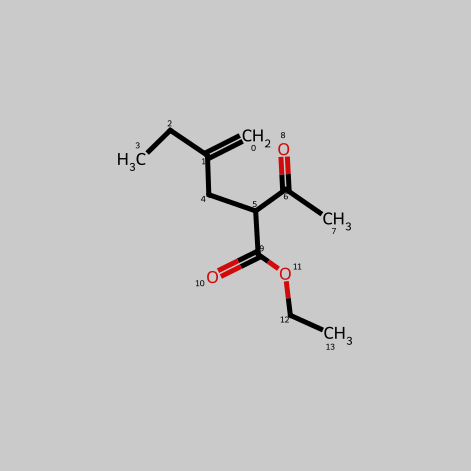 C=C(CC)CC(C(C)=O)C(=O)OCC